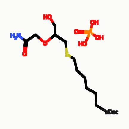 CCCCCCCCCCCCCCCCSCC(CO)OCC(N)=O.O=P(O)(O)O